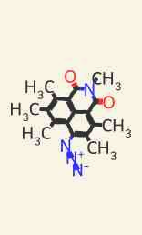 Cc1c(C)c2c3c(c(C)c(C)c(N=[N+]=[N-])c3c1C)C(=O)N(C)C2=O